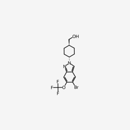 OC[C@H]1CC[C@H](n2cc3cc(Br)c(OC(F)(F)F)cc3n2)CC1